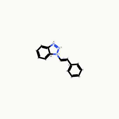 C(=C\n1nnc2ccccc21)/c1ccccc1